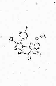 CCC1(c2cccc(OC)c2)C(=O)Nc2sc(Cl)c(-c3ccc(F)cc3)c2C1=O